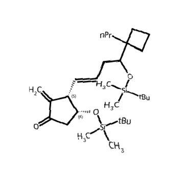 C=C1C(=O)C[C@@H](O[Si](C)(C)C(C)(C)C)[C@H]1C=CCC(O[Si](C)(C)C(C)(C)C)C1(CCC)CCC1